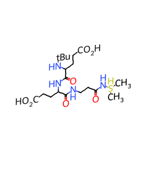 C[SH](C)NC(=O)CCNC(=O)C(CCC(=O)O)NC(=O)C(CCC(=O)O)NC(C)(C)C